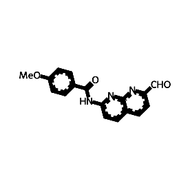 COc1ccc(C(=O)Nc2ccc3ccc(C=O)nc3n2)cc1